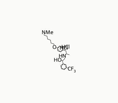 CNCCCCCCOc1ccc(CC(C)NCC(O)c2cccc(C(F)(F)F)c2)cc1.Cl.Cl